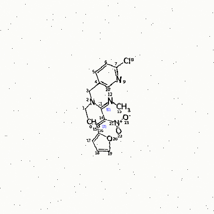 CCN(Cc1ccc(Cl)nc1)C(=N/C)/C(=C/c1ccco1)[N+](=O)[O-]